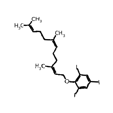 CC(C)=CCCC(C)=CCCC(C)=CCOc1c(I)cc(I)cc1I